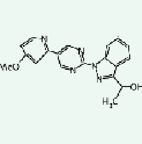 COc1ccnc(-c2cnc(-n3nc(C(C)O)c4cc[c]cc43)nc2)c1